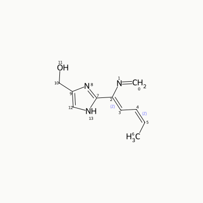 C=N/C(=C\C=C/C)c1nc(CO)c[nH]1